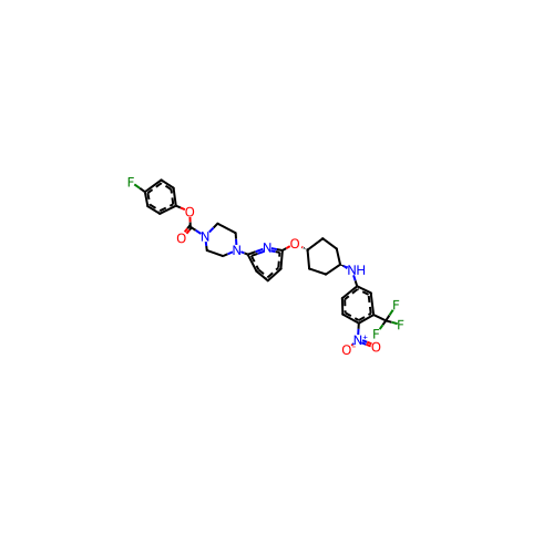 O=C(Oc1ccc(F)cc1)N1CCN(c2cccc(O[C@H]3CC[C@H](Nc4ccc([N+](=O)[O-])c(C(F)(F)F)c4)CC3)n2)CC1